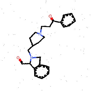 O=CC1c2ccccc2CN1CC1CCN(CCC(=O)c2ccccc2)CC1